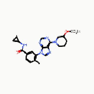 CCOC(=O)OC1CCCN(c2ncnc3c2ncn3-c2cc(C(=O)NC3CC3)ccc2C)C1